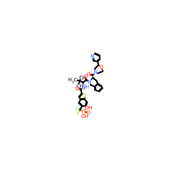 CC(C)(C)C(NC(=O)c1cc2cc(C(F)(F)P(=O)(O)O)ccc2s1)C(=O)N1Cc2ccccc2C[C@H]1C(=O)N1CCOC(c2cccnc2)C1